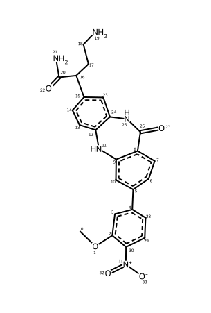 COc1cc(-c2ccc3c(c2)Nc2ccc(C(CCN)C(N)=O)cc2NC3=O)ccc1[N+](=O)[O-]